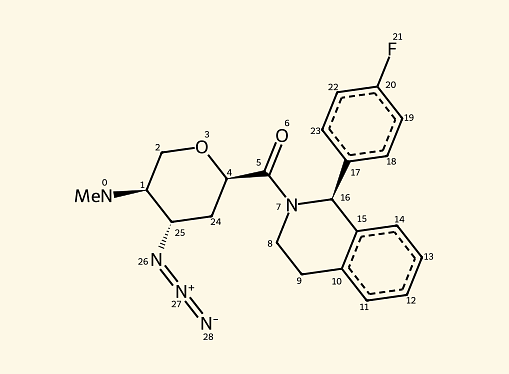 CN[C@H]1CO[C@@H](C(=O)N2CCc3ccccc3[C@@H]2c2ccc(F)cc2)C[C@@H]1N=[N+]=[N-]